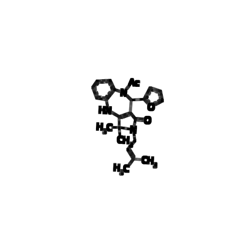 CC(=O)N1c2ccccc2NC2=C(C(=O)N(CC=C(C)C)C2(C)C)C1c1ccco1